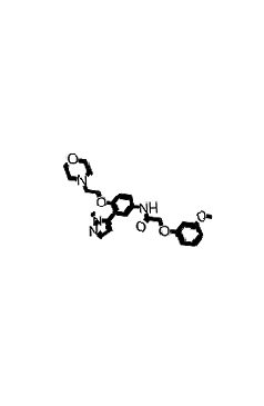 COc1cccc(OCC(=O)Nc2ccc(OCCN3CCOCC3)c(-c3ccnn3C)c2)c1